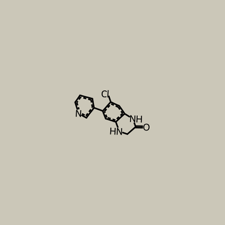 O=C1CNc2cc(-c3cccnc3)c(Cl)cc2N1